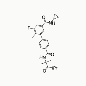 Cc1c(F)cc(C(=O)NC2CC2)cc1-c1ccc(C(=O)NC(C)(C)C(=O)C(C)C)cc1